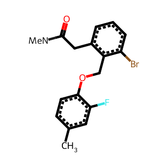 CNC(=O)Cc1cccc(Br)c1COc1ccc(C)cc1F